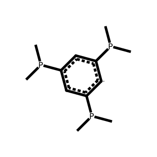 CP(C)c1[c]c(P(C)C)cc(P(C)C)c1